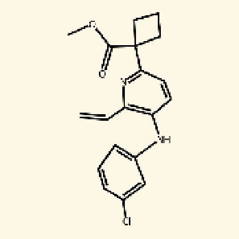 C=Cc1nc(C2(C(=O)OC)CCC2)ccc1Nc1cccc(Cl)c1